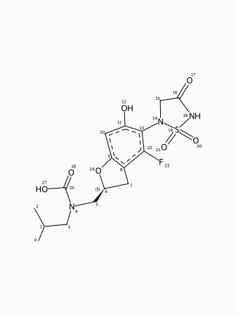 CC(C)CN(C[C@@H]1Cc2c(cc(O)c(N3CC(=O)NS3(=O)=O)c2F)O1)C(=O)O